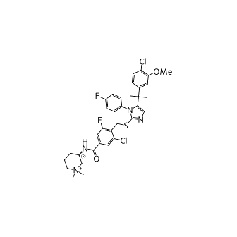 COc1cc(C(C)(C)c2cnc(SCc3c(F)cc(C(=O)N[C@@H]4CCC[N+](C)(C)C4)cc3Cl)n2-c2ccc(F)cc2)ccc1Cl